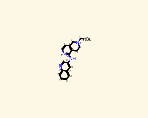 CC(C)(C)CN1CCc2c(ccnc2Nc2cnc3ccccc3c2)C1